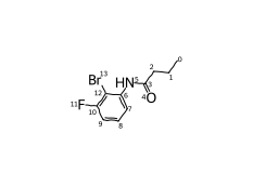 CCCC(=O)Nc1cccc(F)c1Br